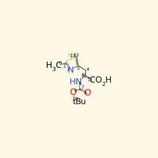 Cc1nc(C[C@H](NC(=O)OC(C)(C)C)C(=O)O)cs1